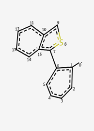 [CH2]c1ccccc1-c1scc2ccccc12